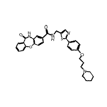 O=C(NCc1cnc(-c2ccc(OCCCN3CCCCC3)cc2)s1)c1ccc2c(c1)NC(=O)c1ccccc1O2